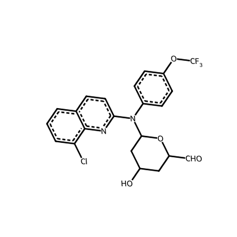 O=CC1CC(O)CC(N(c2ccc(OC(F)(F)F)cc2)c2ccc3cccc(Cl)c3n2)O1